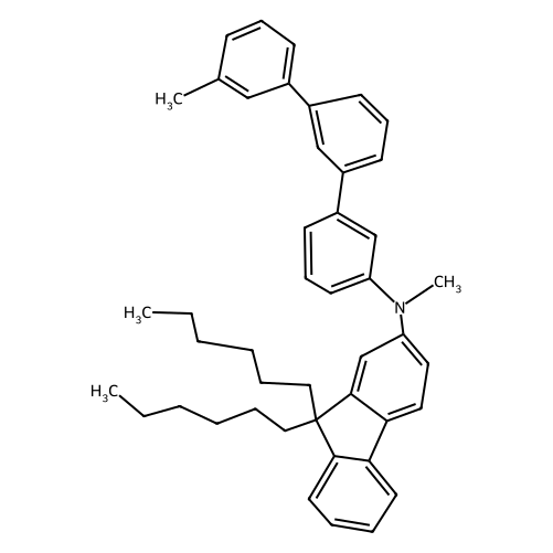 CCCCCCC1(CCCCCC)c2ccccc2-c2ccc(N(C)c3cccc(-c4cccc(-c5cccc(C)c5)c4)c3)cc21